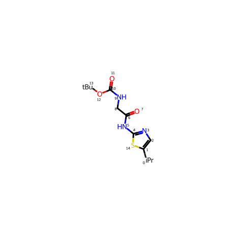 CC(C)c1cnc(NC(=O)CNC(=O)OC(C)(C)C)s1